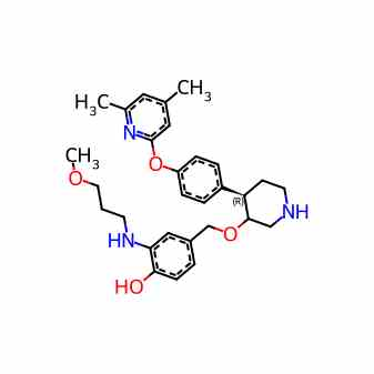 COCCCNc1cc(COC2CNCC[C@@H]2c2ccc(Oc3cc(C)cc(C)n3)cc2)ccc1O